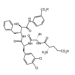 CC(C)[C@H](NC(=O)[C@@H](N)CCC(=O)O)C(=O)N[C@@H](Cc1ccc(Cl)c(Cl)c1)C(=O)N[C@@H](Cc1ccccc1)[C@@H](O)C(=O)Nc1cccc(C(=O)O)c1